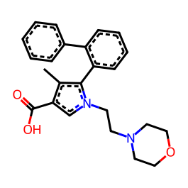 Cc1c(C(=O)O)cn(CCN2CCOCC2)c1-c1ccccc1-c1ccccc1